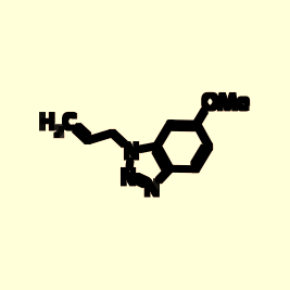 C=CCn1nnc2ccc(OC)cc21